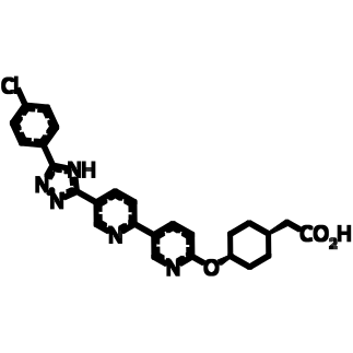 O=C(O)C[C@H]1CC[C@@H](Oc2ccc(-c3ccc(-c4nnc(-c5ccc(Cl)cc5)[nH]4)cn3)cn2)CC1